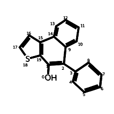 Oc1c(-c2ccccc2)c2ccccc2c2ccsc12